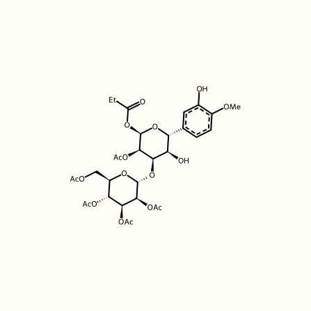 CCC(=O)O[C@H]1O[C@H](c2ccc(OC)c(O)c2)[C@@H](O)[C@@H](O[C@H]2O[C@H](COC(C)=O)[C@@H](OC(C)=O)[C@H](OC(C)=O)[C@@H]2OC(C)=O)[C@H]1OC(C)=O